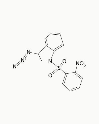 [N-]=[N+]=NC1CN(S(=O)(=O)c2ccccc2[N+](=O)[O-])c2ccccc21